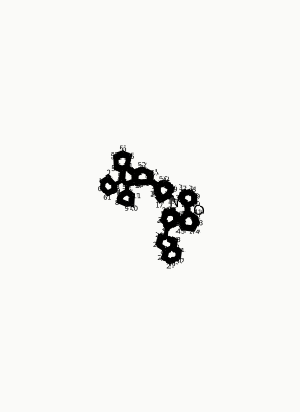 c1ccc(-c2c(-c3ccccc3)c3cc(-c4ccc(N(c5ccc(-c6ccc7ccccc7c6)cc5)c5cccc6oc7ccccc7c56)cc4)ccc3c3ccccc23)cc1